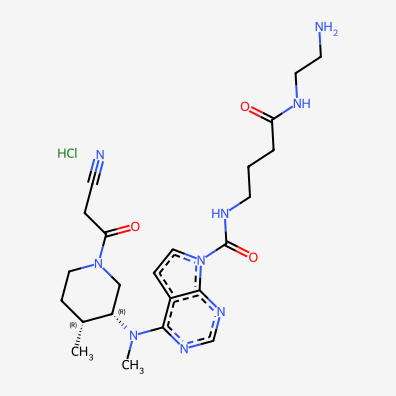 C[C@@H]1CCN(C(=O)CC#N)C[C@@H]1N(C)c1ncnc2c1ccn2C(=O)NCCCC(=O)NCCN.Cl